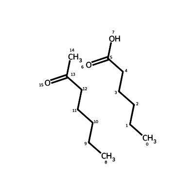 CCCCCC(=O)O.CCCCCC(C)=O